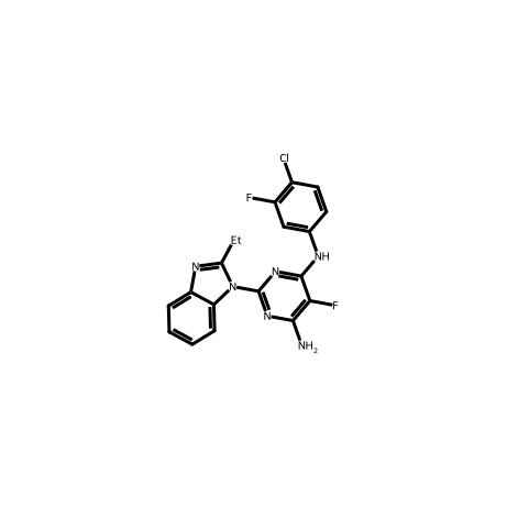 CCc1nc2ccccc2n1-c1nc(N)c(F)c(Nc2ccc(Cl)c(F)c2)n1